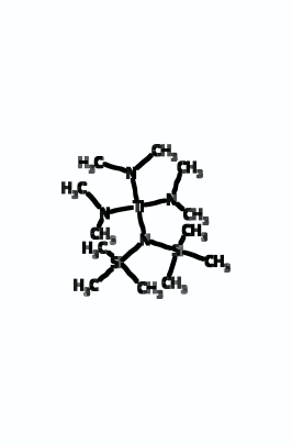 C[N](C)[Ti]([N](C)C)([N](C)C)[N]([Si](C)(C)C)[Si](C)(C)C